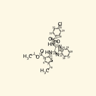 CCOC(=O)c1cc(CC)sc1NC1=Nc2ccccc2NC1NS(=O)(=O)c1ccc(Cl)cc1